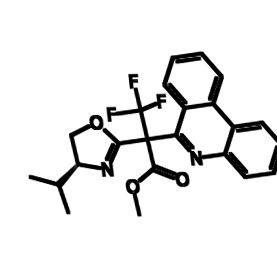 COC(=O)C(C1=N[C@@H](C(C)C)CO1)(c1nc2ccccc2c2ccccc12)C(F)(F)F